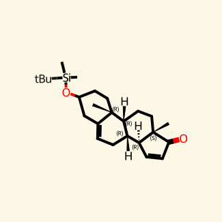 CC(C)(C)[Si](C)(C)OC1CC[C@@]2(C)C(=CC[C@@H]3[C@H]2CC[C@]2(C)C(=O)C=C[C@@H]32)C1